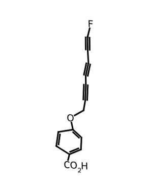 O=C(O)c1ccc(OCC#CC#CC#CF)cc1